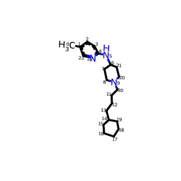 Cc1ccc(NC2CCN(CCCCC3CCCCC3)CC2)nc1